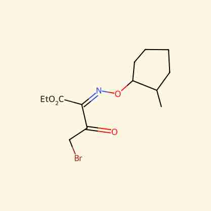 CCOC(=O)C(=NOC1CCCCC1C)C(=O)CBr